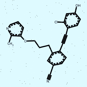 Cc1ncccc1OCCCc1cc(C#N)ccc1C#Cc1ccc(O)cc1Cl